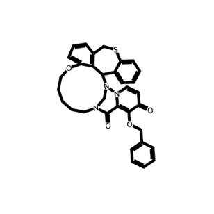 O=C1c2c(OCc3ccccc3)c(=O)ccn2N2CN1CCCCCOc1cccc3c1C2c1ccccc1SC3